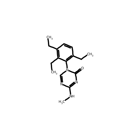 CCc1ccc(CC)c(-n2cnc(NC)nc2=O)c1CC